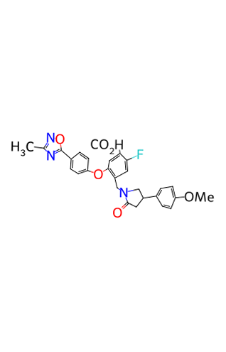 COc1ccc(C2CC(=O)N(Cc3cc(F)c(C(=O)O)cc3Oc3ccc(-c4nc(C)no4)cc3)C2)cc1